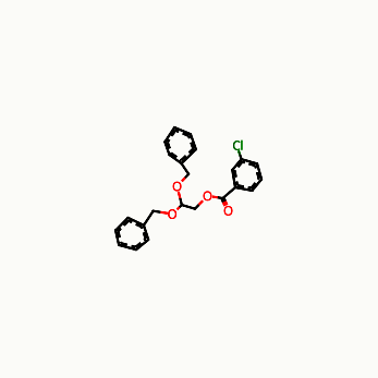 O=C(OCC(OCc1ccccc1)OCc1ccccc1)c1cccc(Cl)c1